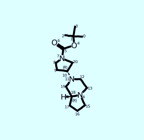 CC(C)(C)OC(=O)N1CC[C@@H](N2CCN3CCC[C@@H]3C2)C1